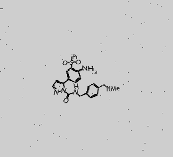 CNCc1ccc(CNC(=O)n2nccc2-c2ccc(N)c(S(=O)(=O)C(C)C)c2)cc1